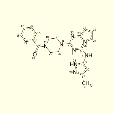 Cc1cc(Nc2nc(N3CCN(C(=O)c4ccccc4)CC3)nc3cccn23)[nH]n1